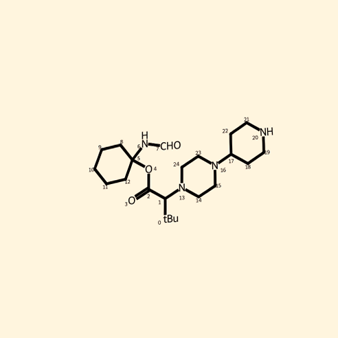 CC(C)(C)C(C(=O)OC1(NC=O)CCCCC1)N1CCN(C2CCNCC2)CC1